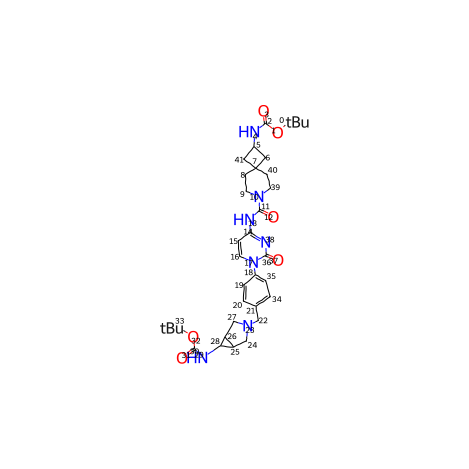 CC(C)(C)OC(=O)NC1CC2(CCN(C(=O)Nc3ccn(-c4ccc(CN5CC6C(C5)C6NC(=O)OC(C)(C)C)cc4)c(=O)n3)CC2)C1